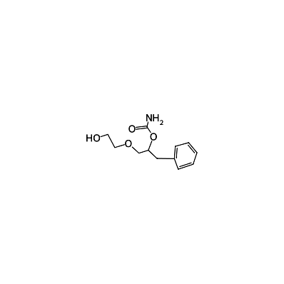 NC(=O)OC(COCCO)Cc1ccccc1